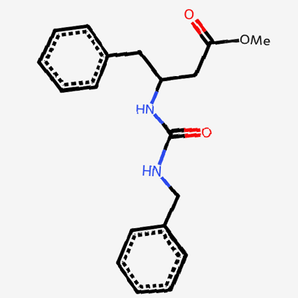 COC(=O)CC(Cc1ccccc1)NC(=O)NCc1ccccc1